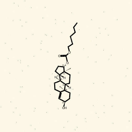 CCCCCCOC(=O)O[C@H]1CC[C@H]2[C@@H]3CCC4=C[C@H](O)CC[C@]4(C)[C@H]3CC[C@]12C